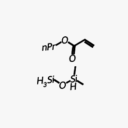 C=CC(=O)OCCC.C[SiH](C)O[SiH3]